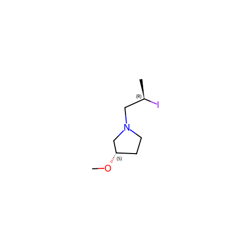 CO[C@H]1CCN(C[C@@H](C)I)C1